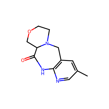 Cc1cnc2c(c1)CN1CCOCC1C(=O)N2